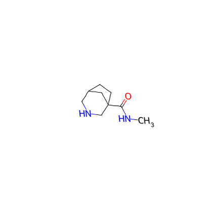 CNC(=O)C12CCC(CNC1)C2